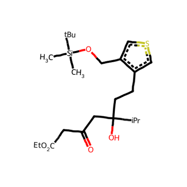 CCOC(=O)CC(=O)CC(O)(CCc1cscc1CO[Si](C)(C)C(C)(C)C)C(C)C